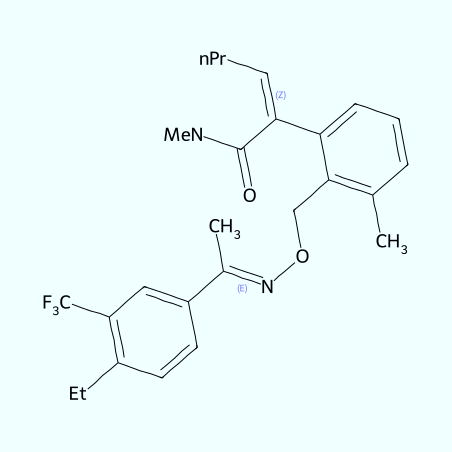 CCC/C=C(\C(=O)NC)c1cccc(C)c1CO/N=C(\C)c1ccc(CC)c(C(F)(F)F)c1